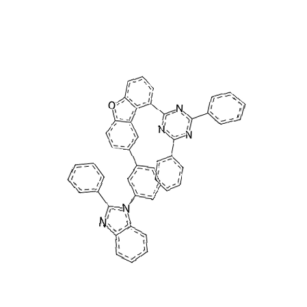 c1ccc(-c2nc(-c3ccccc3)nc(-c3cccc4oc5ccc(-c6cccc(-n7c(-c8ccccc8)nc8ccccc87)c6)cc5c34)n2)cc1